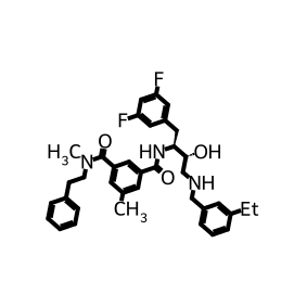 CCc1cccc(CNC[C@@H](O)[C@H](Cc2cc(F)cc(F)c2)NC(=O)c2cc(C)cc(C(=O)N(C)CCc3ccccc3)c2)c1